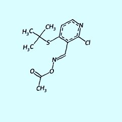 CC(=O)O/N=C/c1c(SC(C)(C)C)ccnc1Cl